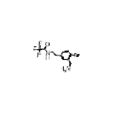 NCc1cc(CCNC(=O)C(F)(F)F)ccc1Br